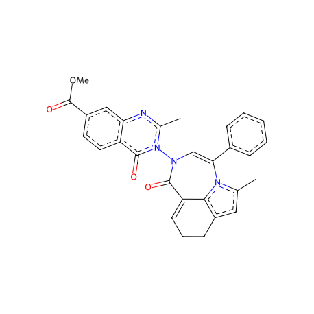 COC(=O)c1ccc2c(=O)n(N3C=C(c4ccccc4)n4c(C)cc5c4C(=CCC5)C3=O)c(C)nc2c1